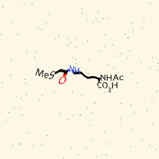 CSCC(=O)NCCCCC(NC(C)=O)C(=O)O